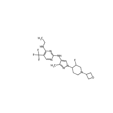 CCNc1nc(Nc2cn(C3CCN(C4COC4)CC3F)nc2C)ncc1C(F)(F)F